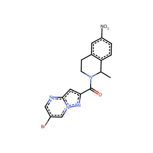 CC1c2ccc([N+](=O)[O-])cc2CCN1C(=O)c1cc2ncc(Br)cn2n1